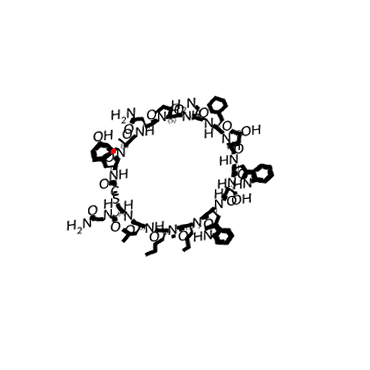 CCCC[C@H]1C(=O)N(C)[C@@H](CCCC)C(=O)N[C@@H](CC(C)C)C(=O)N[C@H](C(=O)NCC(N)=O)CSCC(=O)N[C@@H](Cc2ccc(O)cc2)C(=O)N(C)[C@@H](C)C(=O)N[C@@H](CC(N)=O)C(=O)N2CCC[C@H]2C(=O)N[C@@H](CN)C(=O)N[C@@H](CC2CCCCC2)C(=O)N2C[C@H](O)C[C@H]2C(=O)N[C@@H](Cc2c[nH]c3ccccc23)C(=O)N[C@@H](CO)C(=O)N[C@@H](Cc2c[nH]c3ccccc23)C(=O)N1C